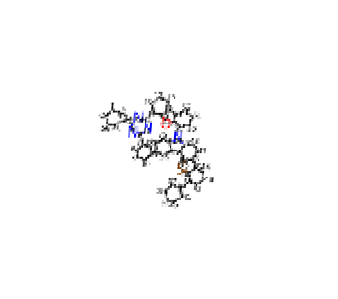 c1ccc(-c2nc(-c3ccccc3)nc(-c3cccc4c3oc3c(-n5c6ccccc6c6c7sc8c(-c9ccccc9)cccc8c7ccc65)cccc34)n2)cc1